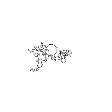 COc1ccc2c(O[C@@H]3C[C@H]4C(=O)N[C@]5(C(=O)O)CC5/C=C\CCCCC[C@H](NC(=O)OC5(CS(=O)(=O)C(C)(C)C)CCCCC5)C(=O)N4C3)cc(-c3csc(NC(C)C)n3)nc2c1